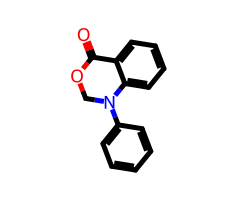 O=C1OCN(c2ccccc2)c2ccccc21